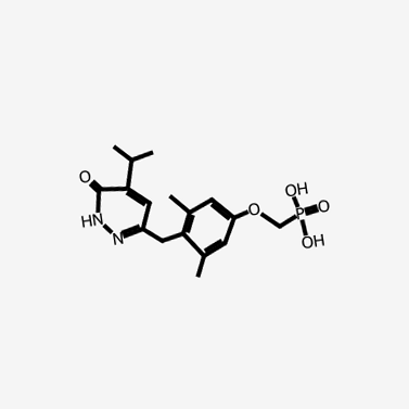 Cc1cc(OCP(=O)(O)O)cc(C)c1Cc1cc(C(C)C)c(=O)[nH]n1